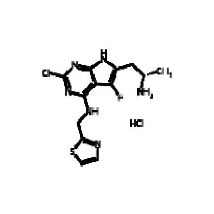 C[C@H](N)Cc1[nH]c2nc(Cl)nc(NCc3nccs3)c2c1F.Cl